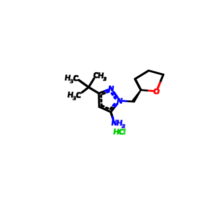 CC(C)(C)c1cc(N)n(C[C@H]2CCCO2)n1.Cl